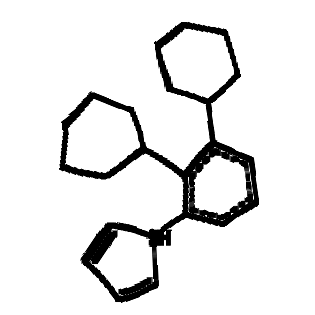 C1=C[SiH](c2cccc(C3CCCCC3)c2C2CCCCC2)C=C1